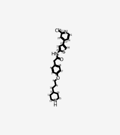 O=C(Cc1ccc(OCCCC2CCNCC2)cc1)Nc1cc(-c2ccnc(Cl)c2)cs1